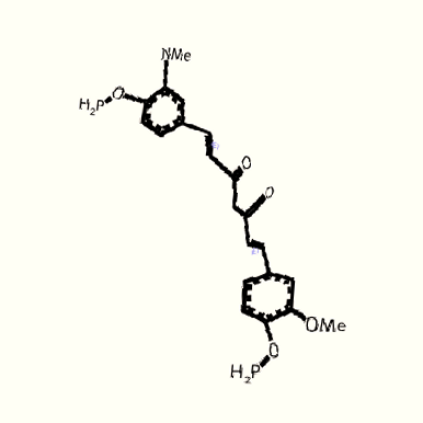 CNc1cc(/C=C/C(=O)CC(=O)/C=C/c2ccc(OP)c(OC)c2)ccc1OP